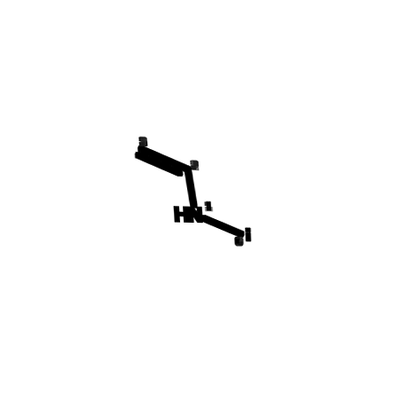 [C]NC=C